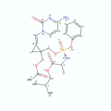 CCCC(=O)OCC1(CO[P@@](=O)(NC(C)C(=O)OCC(CCC)CCC)Oc2ccccc2)C/C1=C/n1ccc(N)nc1=O